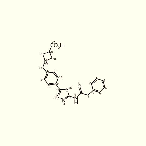 O=C(Cc1ccccc1)Nc1nnc(-c2ccc(CN3CC(C(=O)O)C3)cc2)s1